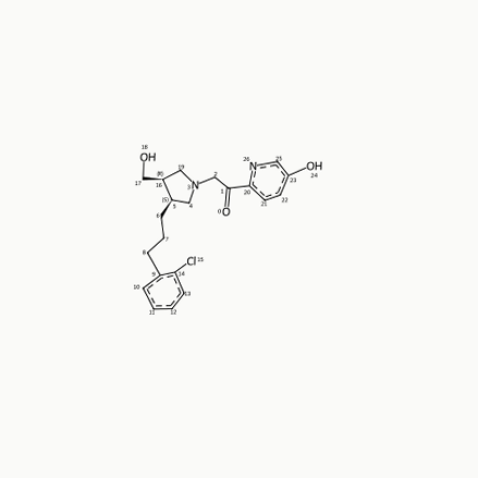 O=C(CN1C[C@@H](CCCc2ccccc2Cl)[C@@H](CO)C1)c1ccc(O)cn1